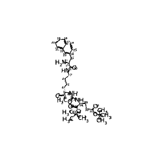 CC(=O)[C@H](CCCCNC(=O)[C@@H](N)Cc1ccc2ccccc2c1)NC(=O)N[C@@H](CCC(=O)OC(C)(C)C)C(=O)OC(C)(C)C